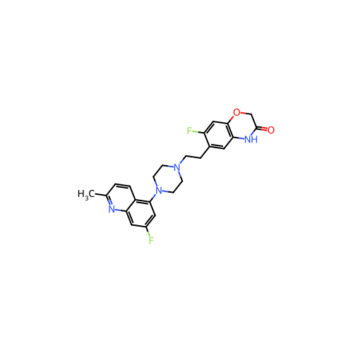 Cc1ccc2c(N3CCN(CCc4cc5c(cc4F)OCC(=O)N5)CC3)cc(F)cc2n1